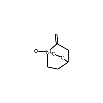 C=C1CC2CC[N+]1([O-])CC2